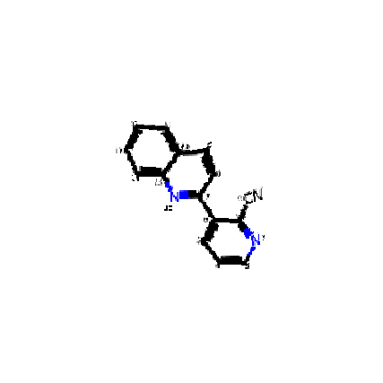 N#Cc1ncccc1-c1ccc2c[c]ccc2n1